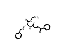 CCOC(=O)[C@@H](CSCc1ccccc1)NC(=O)/C=C/C(=O)c1ccccc1